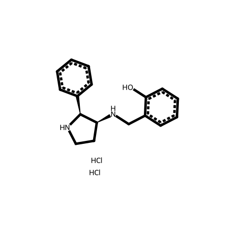 Cl.Cl.Oc1ccccc1CN[C@H]1CCN[C@H]1c1ccccc1